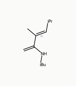 C=C(NC(C)CC)/C(C)=C/C(C)C